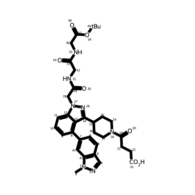 Cn1ncc2ccc(-c3cccc4c3c(C3CCN(C(=O)CCC(=O)O)CC3)nn4CC(=O)NCC(=O)NCC(=O)OC(C)(C)C)cc21